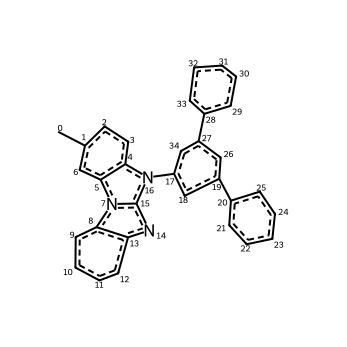 Cc1ccc2c(c1)n1c3ccccc3nc1n2-c1cc(-c2ccccc2)cc(-c2ccccc2)c1